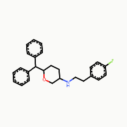 Fc1ccc(CCNC2CCC(C(c3ccccc3)c3ccccc3)OC2)cc1